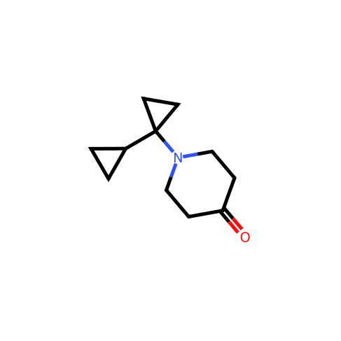 O=C1CCN(C2(C3CC3)CC2)CC1